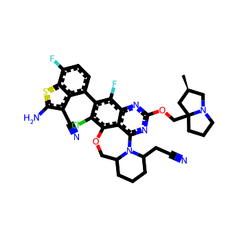 C[C@H]1CN2CCCC2(COc2nc3c4c(c(Cl)c(-c5ccc(F)c6sc(N)c(C#N)c56)c(F)c4n2)OCC2CCCC(CC#N)N32)C1